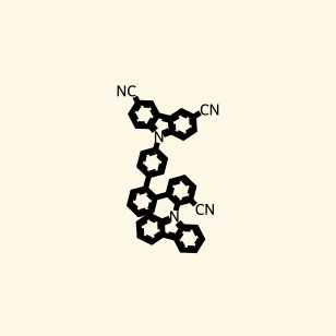 N#Cc1ccc2c(c1)c1cc(C#N)ccc1n2-c1ccc(-c2ccccc2-c2cccc(C#N)c2-n2c3ccccc3c3ccccc32)cc1